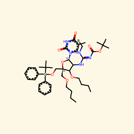 BCN/C(=N\C(=O)OC(C)(C)C)NC1C(OCCCC)[C@](COCCCC)(CO[Si](c2ccccc2)(c2ccccc2)C(C)(C)C)O[C@H]1n1cc(C)c(=O)[nH]c1=O